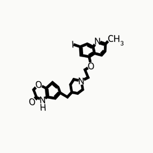 Cc1ccc2c(OCCN3CCC(Cc4ccc5c(c4)NC(=O)CO5)CC3)cc(I)cc2n1